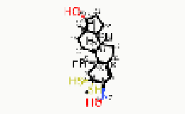 CCC[C@]12CC(S)(S)C(=NO)C=C1CC[C@@H]1[C@@H]2CC[C@]2(C)[C@@H](O)CC[C@@H]12